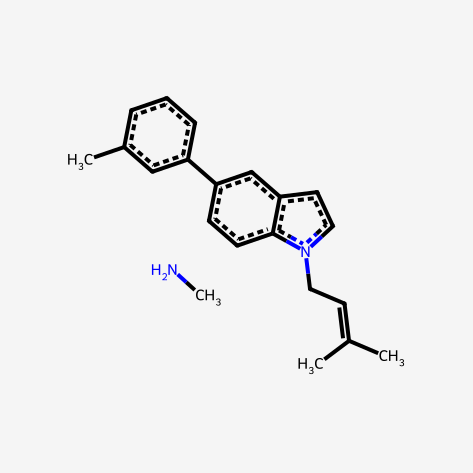 CC(C)=CCn1ccc2cc(-c3cccc(C)c3)ccc21.CN